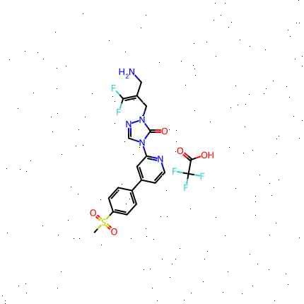 CS(=O)(=O)c1ccc(-c2ccnc(-n3cnn(CC(CN)=C(F)F)c3=O)c2)cc1.O=C(O)C(F)(F)F